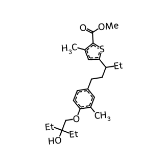 CCC(CCc1ccc(OCC(O)(CC)CC)c(C)c1)c1cc(C)c(C(=O)OC)s1